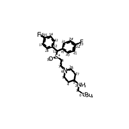 CC(C)(C)CNC1CCN(CC[S+]([O-])C(c2ccc(F)cc2)c2ccc(F)cc2)CC1